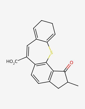 CC1Cc2ccc3c(c2C1=O)SC1=CCCC=C1C=C3C(=O)O